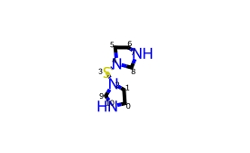 C1CN(SN2CCNC2)CN1